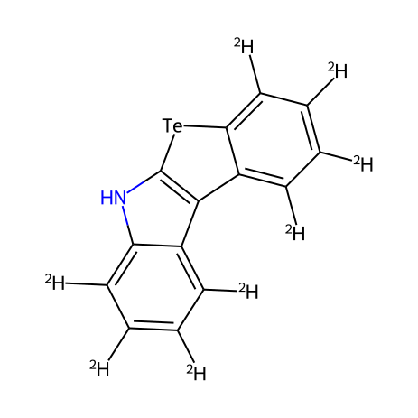 [2H]c1c([2H])c([2H])c2c([nH]c3[te]c4c([2H])c([2H])c([2H])c([2H])c4c32)c1[2H]